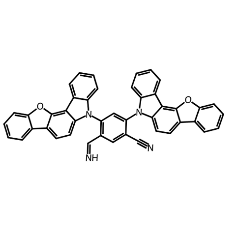 N#Cc1cc(C=N)c(-n2c3ccccc3c3c4oc5ccccc5c4ccc32)cc1-n1c2ccccc2c2c3oc4ccccc4c3ccc21